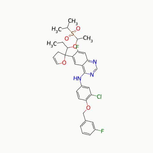 CCC(OC(C)S(=O)(=O)C(C)C)C1(c2cc3c(Nc4ccc(OCc5cccc(F)c5)c(Cl)c4)ncnc3cc2F)CC=CO1